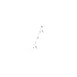 C=CCN(CC=C)CCCCCC(=O)CCCCCN(CC=C)CC=C